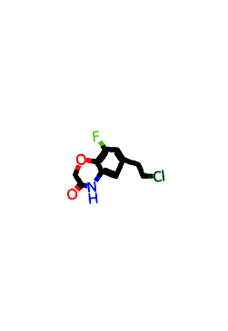 O=C1COc2c(F)cc(CCCl)cc2N1